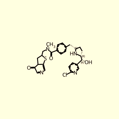 CN(CC1CC2C(=O)C=NC=C2S1)C(=O)c1ccc(C[C@@H]2CC[C@H]([C@H](O)c3ccc(Cl)nc3)N2)cc1